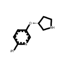 CC(C)c1ccc(O[C@@H]2CCNC2)cn1